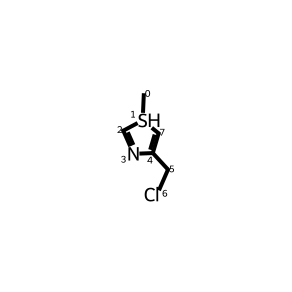 C[SH]1C=NC(CCl)=C1